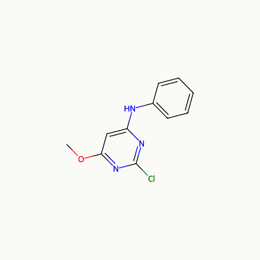 COc1cc(Nc2ccccc2)nc(Cl)n1